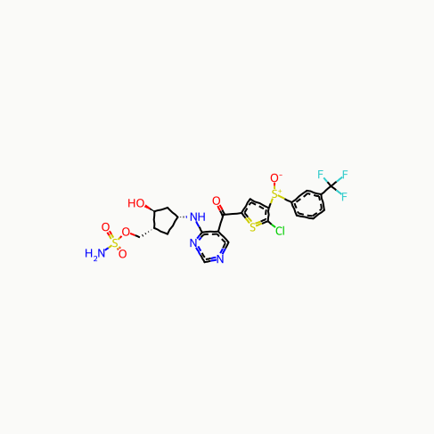 NS(=O)(=O)OC[C@H]1C[C@@H](Nc2ncncc2C(=O)c2cc([S+]([O-])c3cccc(C(F)(F)F)c3)c(Cl)s2)C[C@@H]1O